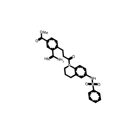 COC(=O)c1ccc(CCC(=O)N2CCCc3cc(NS(=O)(=O)c4ccccc4)ccc32)c(C(=N)N)c1